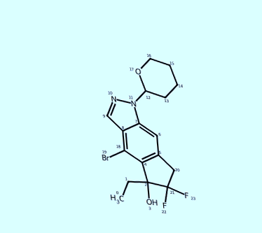 CCC1(O)c2c(cc3c(cnn3C3CCCCO3)c2Br)CC1(F)F